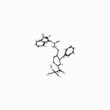 C[C@@H](NCC1CCN(C(=O)C(F)(F)F)CC1c1ccccc1)c1csc2ccccc12